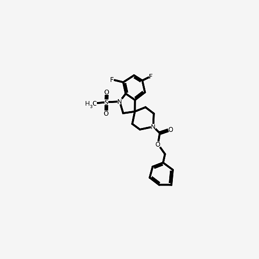 CS(=O)(=O)N1CC2(CCN(C(=O)OCc3ccccc3)CC2)c2cc(F)cc(F)c21